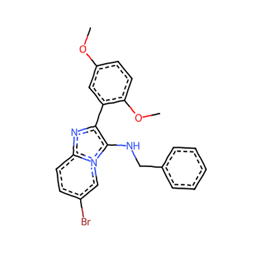 COc1ccc(OC)c(-c2nc3ccc(Br)cn3c2NCc2ccccc2)c1